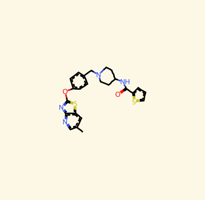 Cc1cnc2nc(Oc3ccc(CN4CCC(NC(=O)c5cccs5)CC4)cc3)sc2c1